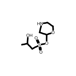 CC(O)CS(=O)(=O)OC1CNCCO1